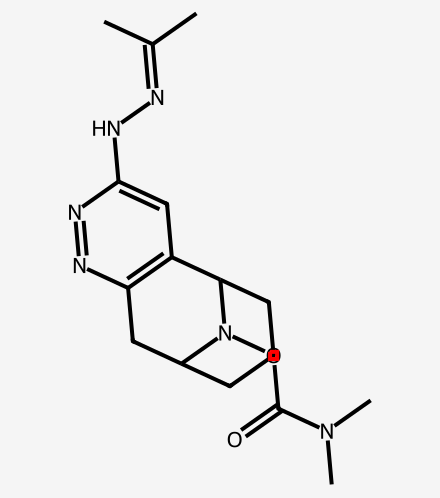 CC(C)=NNc1cc2c(nn1)CC1CCCC2N1OC(=O)N(C)C